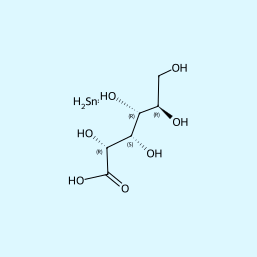 O=C(O)[C@H](O)[C@@H](O)[C@H](O)[C@H](O)CO.[SnH2]